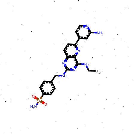 Nc1cc(-c2ccc3nc(NCc4ccc(S(N)(=O)=O)cc4)nc(NCC(F)(F)F)c3n2)ccn1